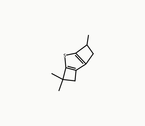 CC1Cc2c1sc1c2CC1(C)C